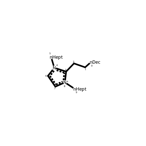 CCCCCCCCCCCCc1n(CCCCCCC)cc[n+]1CCCCCCC